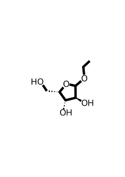 CCOC1O[C@@H](CO)[C@@H](O)[C@@H]1O